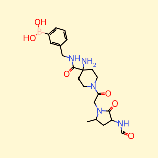 CC1CC(NC=O)C(=O)N1CC(=O)N1CCC(N)(C(=O)NCc2cccc(B(O)O)c2)CC1